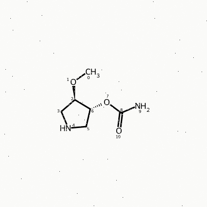 CO[C@@H]1CNC[C@H]1OC(N)=O